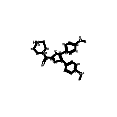 COc1ccc(-c2nc(C(=O)N3CCNCC3)sc2-c2ccc(OC)cc2)cc1